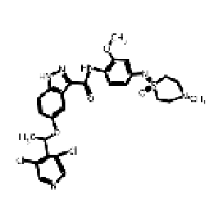 COc1cc(N=S2(=O)CCN(C)CC2)ccc1NC(=O)c1n[nH]c2ccc(OC(C)c3c(Cl)cncc3Cl)cc12